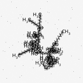 CCCCCCCCCCC(=O)OCCCCC(CN(CCCCNC(=O)CC(C)(O)CC(=O)NCCCCN(CC(CCCCCOC(=O)C(CCCCCCCC)CCCCCCCC)O[Si](C)(C)C(C)(C)C)CC(CCCCOC(=O)CCCCCCCCCC)O[Si](C)(C)C(C)(C)C)CC(CCCCCOC(=O)C(CCCCCCCC)CCCCCCCC)O[Si](C)(C)C(C)(C)C)O[Si](C)(C)C(C)(C)C